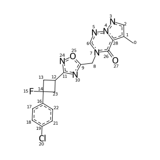 Cc1cnn2ncn(Cc3nc(C4CC(F)(c5ccc(Cl)cc5)C4)no3)c(=O)c12